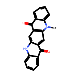 CCn1c2ccccc2c(=O)c2cc3[nH]c4ccccc4c(=O)c3cc21